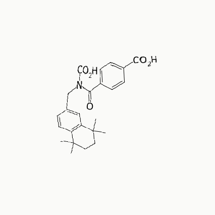 CC1(C)CCC(C)(C)c2cc(CN(C(=O)O)C(=O)c3ccc(C(=O)O)cc3)ccc21